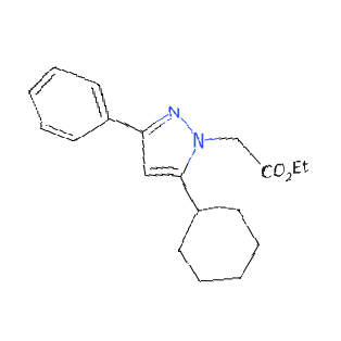 CCOC(=O)Cn1nc(-c2ccccc2)cc1C1CCCCC1